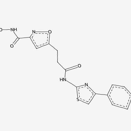 O=C(CCc1cc(C(=O)NO)no1)Nc1nc(-c2ccccc2)cs1